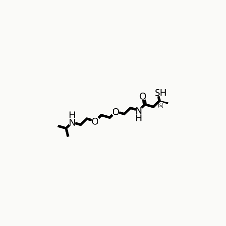 CC(C)NCCOCCOCCNC(=O)C[C@H](C)S